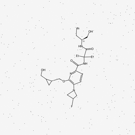 CCC(CC)(NC(=O)c1ccc(N2CC(F)C2)c(OCC2CC2CO)n1)C(=O)N[C@H](CO)CC(C)C